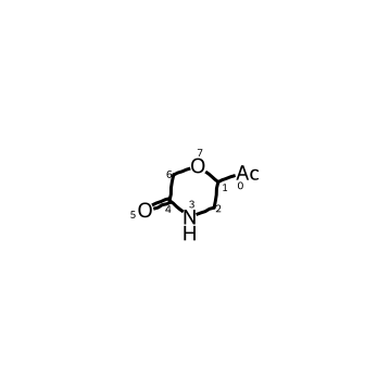 CC(=O)C1CNC(=O)CO1